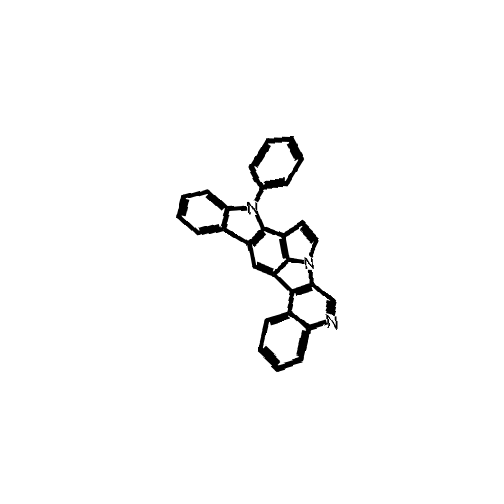 c1ccc(-n2c3ccccc3c3cc4c5c6ccccc6ncc5n5ccc(c32)c45)cc1